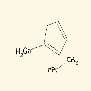 CCCC.[GaH2][C]1=CC=CC1